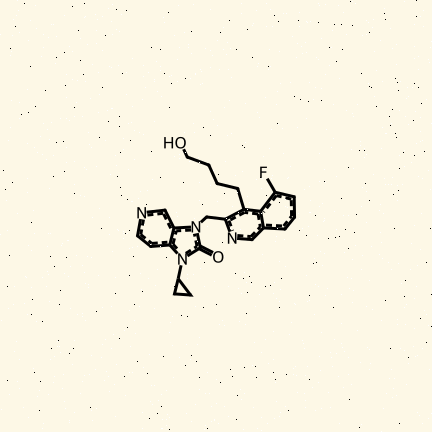 O=c1n(Cc2ncc3cccc(F)c3c2CCCCO)c2cnccc2n1C1CC1